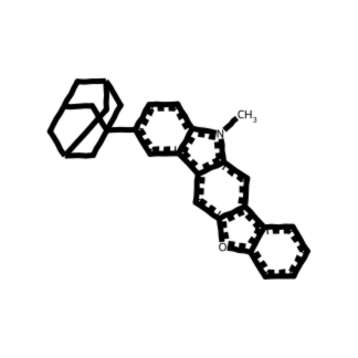 Cn1c2ccc(C34CC5CC(CC(C5)C3)C4)cc2c2cc3oc4ccccc4c3cc21